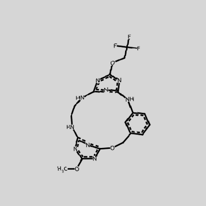 COc1nc2nc(n1)OCc1cccc(c1)Nc1nc(nc(OCC(F)(F)F)n1)NCCN2